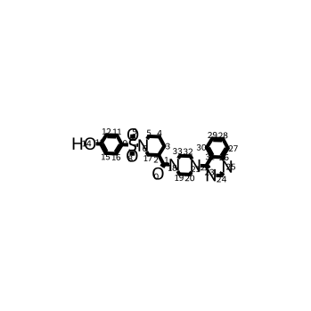 O=C(C1CCCN(S(=O)(=O)c2ccc(O)cc2)C1)N1CCN(c2ncnc3ccccc23)CC1